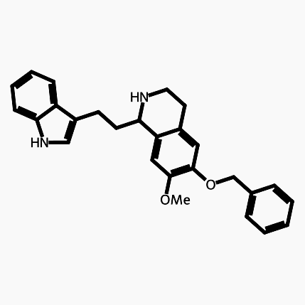 COc1cc2c(cc1OCc1ccccc1)CCNC2CCc1c[nH]c2ccccc12